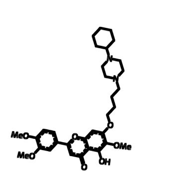 COc1ccc(-c2cc(=O)c3c(O)c(OC)c(OCCCCN4CCN(C5CCCCC5)CC4)cc3o2)cc1OC